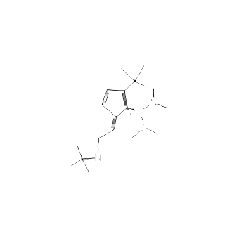 C[N](C)[Mo]([C]1=C(C(C)(C)C)C=CC1=CCNC(C)(C)C)[N](C)C